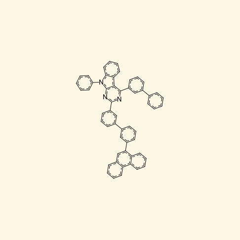 c1ccc(-c2cccc(-c3nc(-c4cccc(-c5cccc(-c6cc7ccccc7c7ccccc67)c5)c4)nc4c3c3ccccc3n4-c3ccccc3)c2)cc1